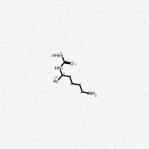 CCCCCCC(=O)NC(CCCCN)C(C)=O